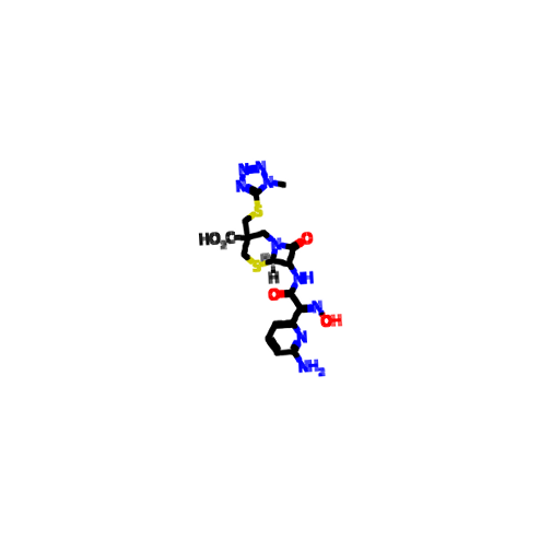 Cn1nnnc1SCC1(C(=O)O)CS[C@@H]2C(NC(=O)C(=NO)c3cccc(N)n3)C(=O)N2C1